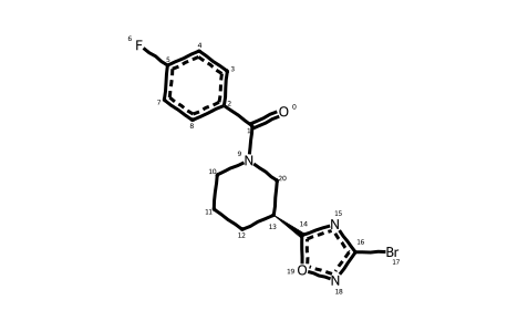 O=C(c1ccc(F)cc1)N1CCC[C@H](c2nc(Br)no2)C1